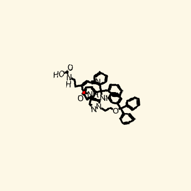 N#C/C=C(/CCNC(=O)O)C(=O)Nc1cnn(CCOC(c2ccccc2)(c2ccccc2)c2ccccc2)c1NC(c1ccccc1)(c1ccccc1)c1ccccc1